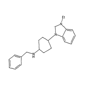 CCN1[CH]N(C2CCC(NCc3ccccc3)CC2)c2ccccc21